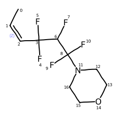 C/C=C\C(F)(F)C(F)C(F)(F)N1CCOCC1